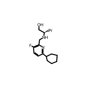 CC(C)[C@H](CO)NCc1nc(C2CCCCC2)ccc1F